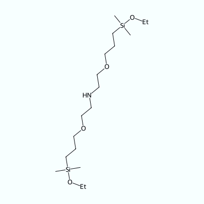 CCO[Si](C)(C)CCCOCCNCCOCCC[Si](C)(C)OCC